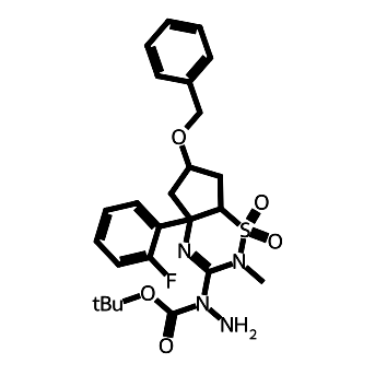 CN1C(N(N)C(=O)OC(C)(C)C)=NC2(c3ccccc3F)CC(OCc3ccccc3)CC2S1(=O)=O